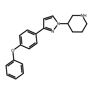 c1ccc(Oc2ccc(-c3ccn(C4CCCNC4)n3)cc2)cc1